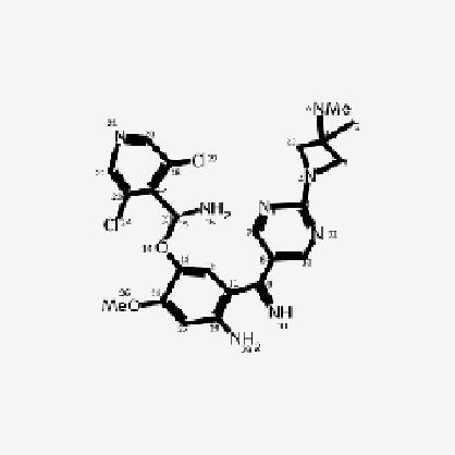 CNC1(C)CN(c2ncc(C(=N)c3cc(O[C@H](N)c4c(Cl)cncc4Cl)c(OC)cc3N)cn2)C1